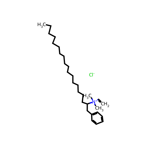 C=C[N+](C)(C)C(CCCCCCCCCCCCCCCCC)Cc1ccccc1.[Cl-]